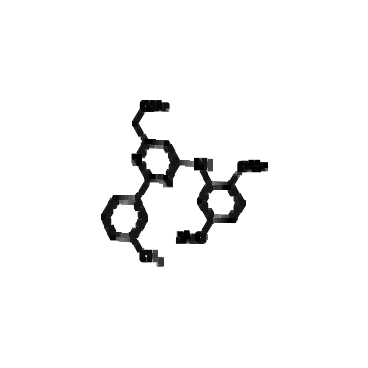 COCc1cc(Nc2cc(OC)ccc2OC)nc(-c2cccc(C)c2)n1